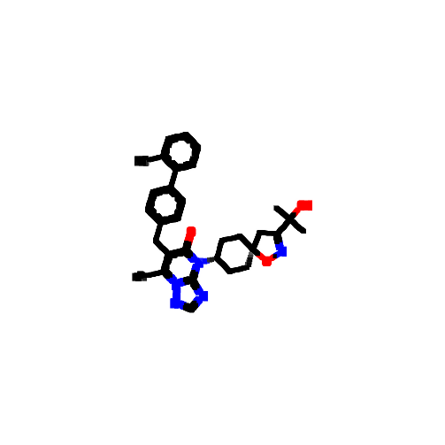 CCCc1c(Cc2ccc(-c3ccccc3C#N)cc2)c(=O)n([C@H]2CC[C@]3(CC2)CC(C(C)(C)O)=NO3)c2ncnn12